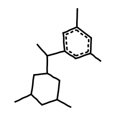 Cc1cc(C)cc(C(C)C2CC(C)CC(C)C2)c1